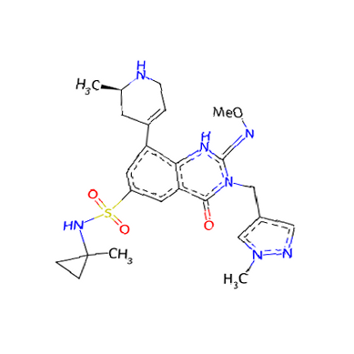 CO/N=c1\[nH]c2c(C3=CCN[C@H](C)C3)cc(S(=O)(=O)NC3(C)CC3)cc2c(=O)n1Cc1cnn(C)c1